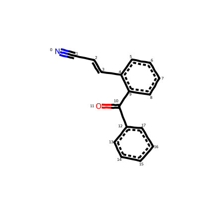 N#CC=Cc1ccccc1C(=O)c1ccccc1